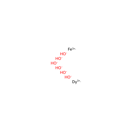 [Dy+3].[Fe+3].[OH-].[OH-].[OH-].[OH-].[OH-].[OH-]